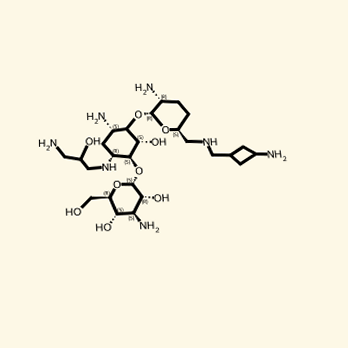 NCC(O)CN[C@@H]1C[C@H](N)C(O[C@H]2O[C@H](CNCC3CC(N)C3)CC[C@H]2N)[C@H](O)[C@H]1O[C@H]1O[C@H](CO)[C@@H](O)[C@H](N)[C@H]1O